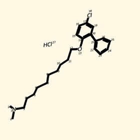 CN(C)CCCCCCCCCCOc1ccc(Cl)cc1-c1ccccc1.Cl